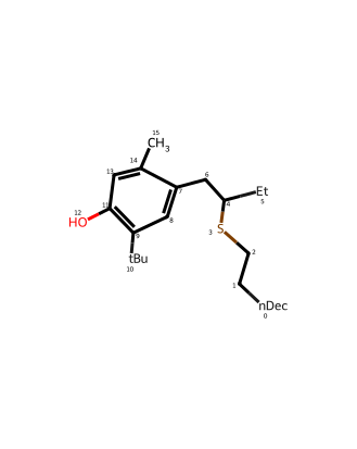 CCCCCCCCCCCCSC(CC)Cc1cc(C(C)(C)C)c(O)cc1C